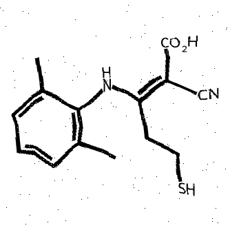 Cc1cccc(C)c1NC(CCS)=C(C#N)C(=O)O